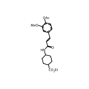 CCOC(=O)C1CCC(NC(=O)/C=C/c2ccc(OC(C)=O)c(OC)c2)CC1